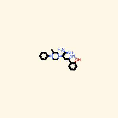 CC1CN(C(/C=C(\N)c2ccccc2O)=C(N)N)CCN1c1ccccc1